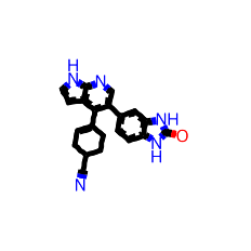 N#CC1CC=C(c2c(-c3ccc4[nH]c(=O)[nH]c4c3)cnc3[nH]ccc23)CC1